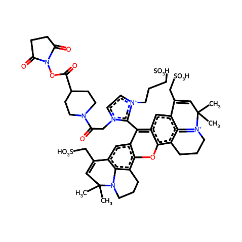 CC1(C)C=C(CS(=O)(=O)O)c2cc3c(c4c2N1CCC4)Oc1c2c4c(cc1=C3c1n(CC(=O)N3CCC(C(=O)ON5C(=O)CCC5=O)CC3)cc[n+]1CCCS(=O)(=O)O)C(CS(=O)(=O)O)=CC(C)(C)[N+]=4CCC2